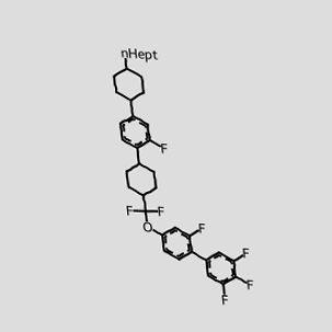 CCCCCCCC1CCC(c2ccc(C3CCC(C(F)(F)Oc4ccc(-c5cc(F)c(F)c(F)c5)c(F)c4)CC3)c(F)c2)CC1